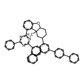 CC12CC(c3cc(-c4cc#ccc4)cc(-c4ccc(-c5ccccc5)cc4)c3)CCC1Oc1cccc(-c3nc(-c4ccccc4)nc(-c4ccccc4)n3)c12